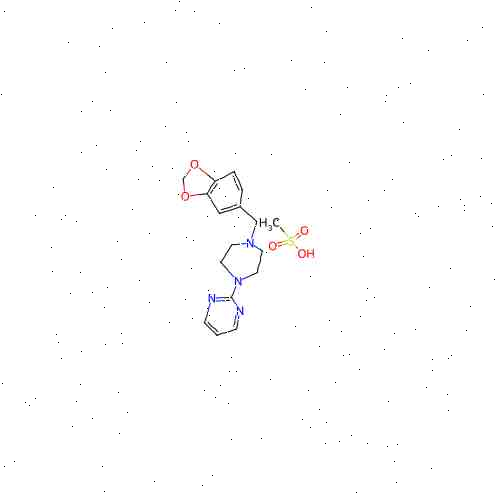 CS(=O)(=O)O.c1cnc(N2CCN(Cc3ccc4c(c3)OCO4)CC2)nc1